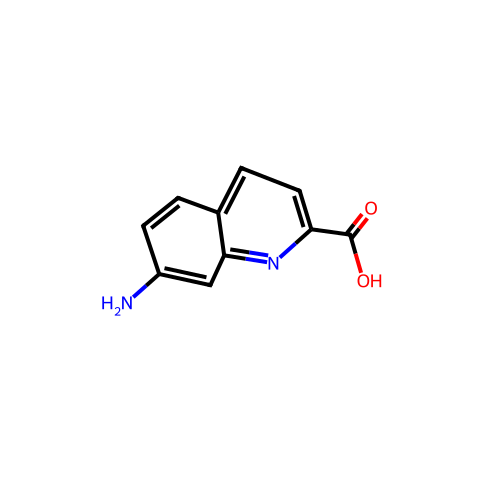 Nc1ccc2ccc(C(=O)O)nc2c1